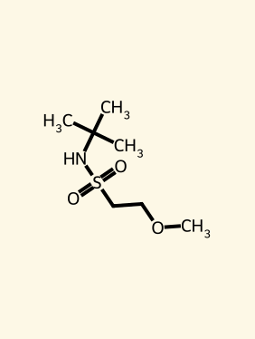 COCCS(=O)(=O)NC(C)(C)C